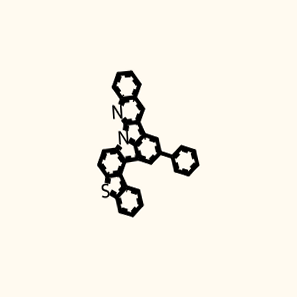 c1ccc(-c2cc3c4cc5ccccc5nc4n4c5ccc6sc7ccccc7c6c5c(c2)c34)cc1